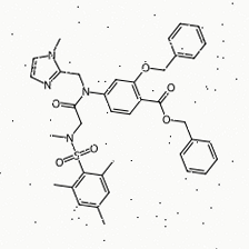 Cc1cc(C)c(S(=O)(=O)N(C)CC(=O)N(Cc2nccn2C)c2ccc(C(=O)OCc3ccccc3)c(OCc3ccccc3)c2)c(C)c1